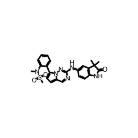 CN(c1ccccc1-c1ccc2cnc(Nc3ccc4c(c3)C(C)(C)C(=O)N4)nn12)S(C)(=O)=O